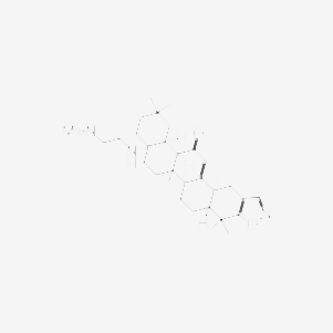 CNCCN[C@]12CCC(C)(C)C[C@H]1[C@H]1C(=O)C=C3[C@@]4(C)Cc5cnoc5C(C)(C)[C@@H]4CC[C@@]3(C)[C@]1(C)CC2